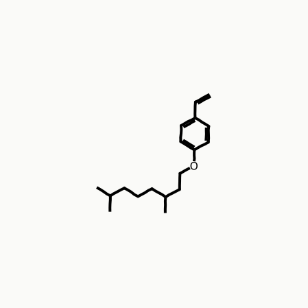 C=Cc1ccc(OCCC(C)CCCC(C)C)cc1